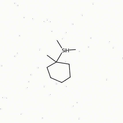 C[SiH](C)C1(C)CCCCC1